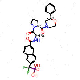 CC(C)(C)C(NC(=O)c1ccc2cc(C(F)(F)P(=O)(O)O)ccc2c1)C(=O)N1CCC[C@H]1C(=O)N1CCO[C@@H](c2ccccc2)C1